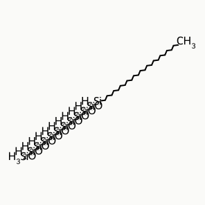 CCCCCCCCCCCCCCCCCCCCCCCC[SiH2]O[SiH2]O[SiH2]O[SiH2]O[SiH2]O[SiH2]O[SiH2]O[SiH2]O[SiH2]O[SiH2]O[SiH2]O[SiH3]